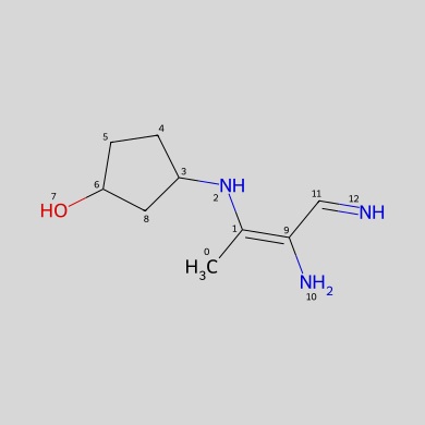 C/C(NC1CCC(O)C1)=C(\N)C=N